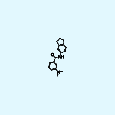 CN(C)c1cccc(C(=O)Nc2ccc3c(c2)CCC3)c1